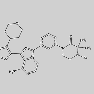 CC(=O)N1CCN(c2cccc(-c3cc(-c4ccnn4C4CCOCC4)c4c(N)nccn34)c2)C(=O)C1(C)C